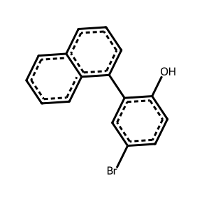 Oc1ccc(Br)cc1-c1cccc2ccccc12